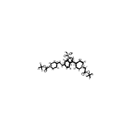 CC(C)(C)OC(=O)CN1CCC(c2nn(S(C)(=O)=O)c3cc(CCC4CCN(C(=O)OC(C)(C)C)CC4)ccc23)CC1